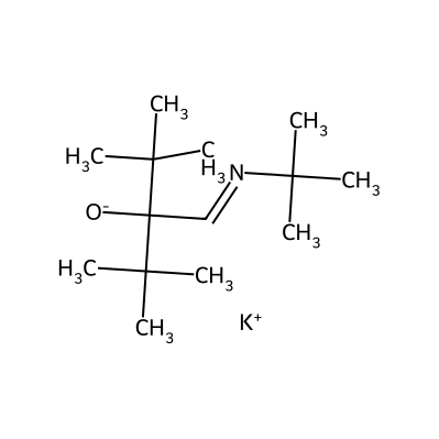 CC(C)(C)N=CC([O-])(C(C)(C)C)C(C)(C)C.[K+]